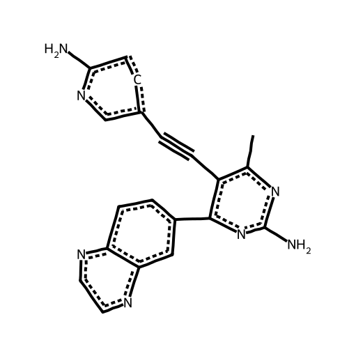 Cc1nc(N)nc(-c2ccc3nccnc3c2)c1C#Cc1ccc(N)nc1